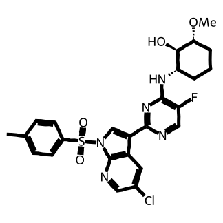 CO[C@@H]1CCC[C@H](Nc2nc(-c3cn(S(=O)(=O)c4ccc(C)cc4)c4ncc(Cl)cc34)ncc2F)[C@H]1O